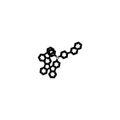 c1ccc(N(c2ccc(-c3ccc4ccccc4c3)cc2)c2ccc3c(c2)C2(c4ccccc4-3)c3ccccc3-c3c2cc2c4c(cccc34)-c3ccccc3-2)cc1